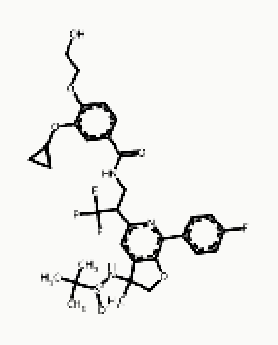 CC1(N[S+]([O-])C(C)(C)C)COc2c1cc(C(CNC(=O)c1ccc(OCCO)c(OC3CC3)c1)C(F)(F)F)nc2-c1ccc(F)cc1